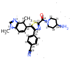 CC1c2ncn(C)c2C=CC1c1sc(C(=O)N2CCC(N)CC2)nc1-c1ccc(C#N)cc1